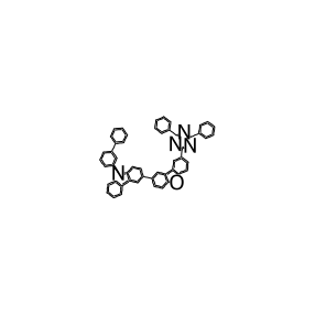 c1ccc(-c2cccc(-n3c4ccccc4c4cc(-c5ccc6oc7ccc(-c8nc(-c9ccccc9)nc(-c9ccccc9)n8)cc7c6c5)ccc43)c2)cc1